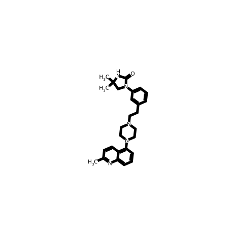 Cc1ccc2c(N3CCN(CCc4cccc(N5CC(C)(C)NC5=O)c4)CC3)cccc2n1